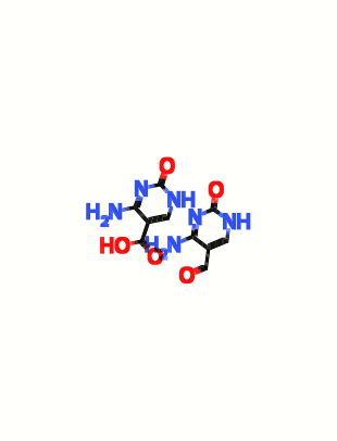 Nc1nc(=O)[nH]cc1C(=O)O.Nc1nc(=O)[nH]cc1C=O